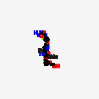 COC(=O)[C@H](COCc1cccc(OCCO)c1)NC[C@H](C(C)C)n1cc(COc2ccc3nc(S(N)(=O)=O)sc3c2)nn1